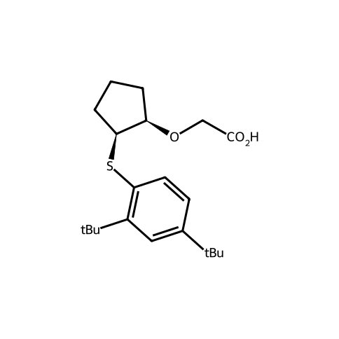 CC(C)(C)c1ccc(S[C@H]2CCC[C@H]2OCC(=O)O)c(C(C)(C)C)c1